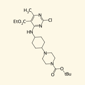 CCOC(=O)c1c(C)nc(Cl)nc1NC1CCC(N2CCN(C(=O)OC(C)(C)C)CC2)CC1